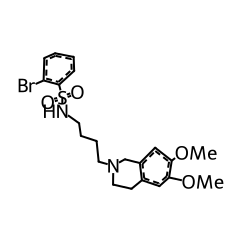 COc1cc2c(cc1OC)CN(CCCCNS(=O)(=O)c1ccccc1Br)CC2